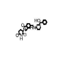 O=C1CCC(N2Cc3cc(CN[C@@H]4CCC[C@H]([C@H](O)c5ccccc5)C4)ccc3C2=O)C(=O)N1